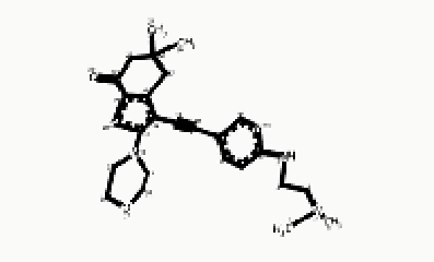 CN(C)CCNc1ccc(C#Cc2c(N3CCOCC3)sc3c2CC(C)(C)CC3=O)cn1